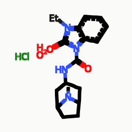 CCn1c(=O)n(C(=O)NC2CC3CCC(C2)N3C)c2ccccc21.Cl.O